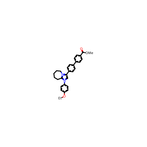 CCOc1ccc(-n2cc(-c3ccc(-c4ccc(C(=O)OC)cc4)cc3)[n+]3c2CCCCC3)cc1